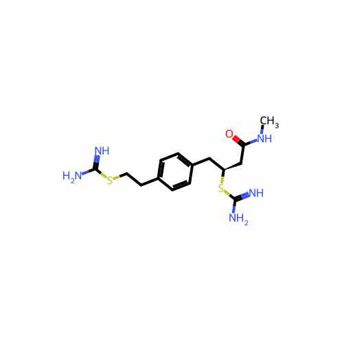 CNC(=O)C[C@H](Cc1ccc(CCSC(=N)N)cc1)SC(=N)N